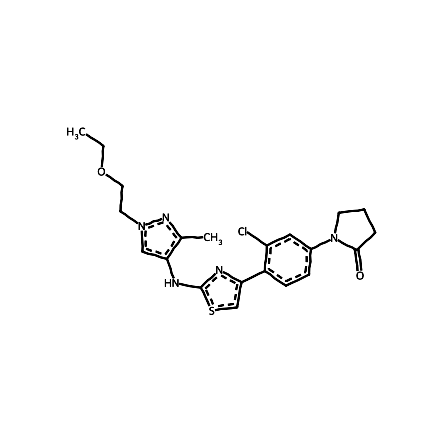 CCOCCn1cc(Nc2nc(-c3ccc(N4CCCC4=O)cc3Cl)cs2)c(C)n1